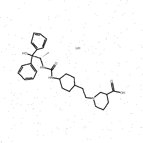 C[C@H](NC(=O)NC1CCC(CCN2CCCC(C(=O)O)C2)CC1)C(O)(c1ccccc1)c1ccccc1.[LiH]